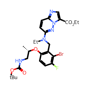 CCOC(=O)c1cnc2ccc(N(CC)Cc3c(O[C@@H](C)CNC(=O)OC(C)(C)C)ccc(F)c3Br)nn12